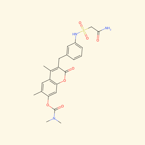 Cc1cc2c(C)c(Cc3cccc(NS(=O)(=O)CC(N)=O)c3)c(=O)oc2cc1OC(=O)N(C)C